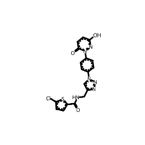 O=C(NCc1cn(-c2ccc(-n3nc(O)ccc3=O)cc2)nn1)c1ccc(Cl)s1